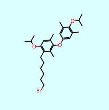 Cc1cc(Oc2c(C)cc(OC(C)C)c(CCCCCCBr)c2C)cc(C)c1OC(C)C